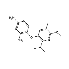 COc1nc(C(C)C)c(Oc2cnc(N)nc2N)cc1I